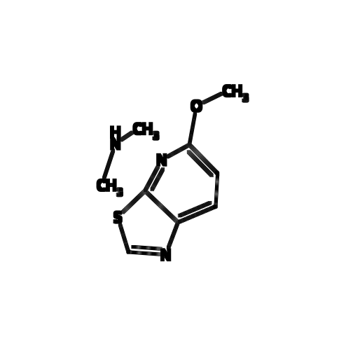 CNC.COc1ccc2ncsc2n1